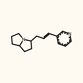 C(=C\c1cccnc1)/CC1CCC2CCCN12